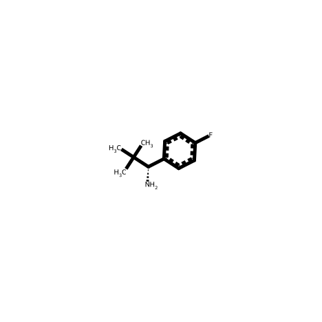 CC(C)(C)[C@@H](N)c1ccc(F)cc1